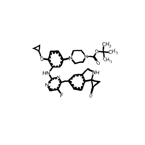 CC(C)(C)OC(=O)N1CCN(c2ccc(OC3CC3)c(Nc3ncc(F)c(-c4ccc5c(c4)CNC54CC4=O)n3)c2)CC1